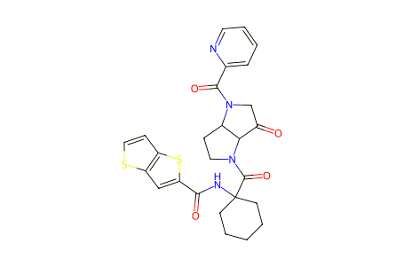 O=C(NC1(C(=O)N2CCC3C2C(=O)CN3C(=O)c2ccccn2)CCCCC1)c1cc2sccc2s1